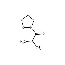 CC(C)C(=O)N1CCCO1